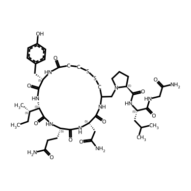 CC[C@H](C)[C@@H]1NC(=O)[C@H](Cc2ccc(O)cc2)NC(=O)CCSSCC(CN2CCC[C@H]2C(=O)N[C@@H](CC(C)C)C(=O)NCC(N)=O)NC(=O)[C@H](CC(N)=O)NC(=O)[C@H](CCC(N)=O)NC1=O